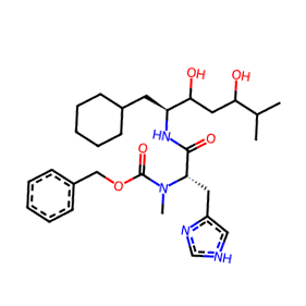 CC(C)C(O)CC(O)[C@H](CC1CCCCC1)NC(=O)[C@H](Cc1c[nH]cn1)N(C)C(=O)OCc1ccccc1